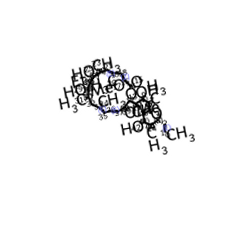 C/C=C/[C@H]1OC([C@@H](C)[C@H](O)[C@H](C)C2OC(=O)/C(OC)=C/C(C)=C/[C@@H](C)[C@@H](O)[C@@H](CC)[C@@H](O)[C@H](C)C/C(C)=C/C=C/[C@@H]2OC)C[C@@H](O)[C@@H]1C